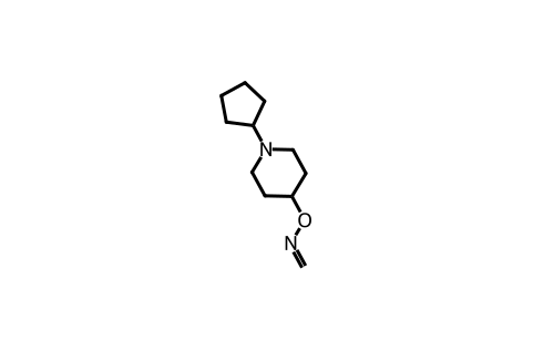 C=NOC1CCN(C2CCCC2)CC1